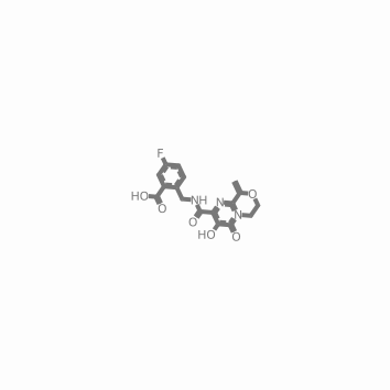 C=C1OCCn2c1nc(C(=O)NCc1ccc(F)cc1C(=O)O)c(O)c2=O